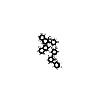 c1cc(-c2cccc3c2sc2ccccc23)cc(N(c2ccc3ccccc3c2)c2cccc3oc4c5ccccc5ccc4c23)c1